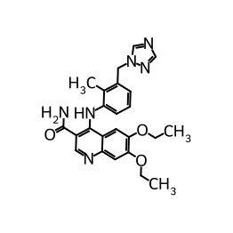 CCOc1cc2ncc(C(N)=O)c(Nc3cccc(Cn4cncn4)c3C)c2cc1OCC